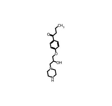 CCCC(=O)c1ccc(OCC(O)CN2CCNCC2)cc1